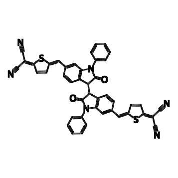 N#CC(C#N)=c1cc/c(=C\c2ccc3c(c2)N(c2ccccc2)C(=O)C3C2C(=O)N(c3ccccc3)c3cc(/C=c4\ccc(=C(C#N)C#N)s4)ccc32)s1